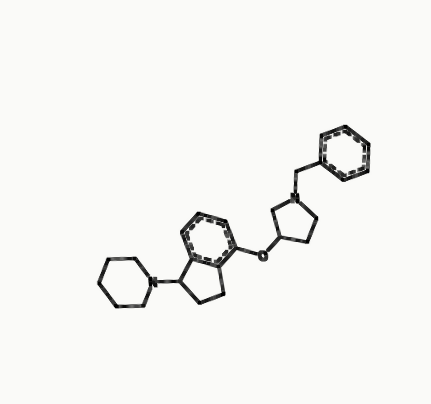 c1ccc(CN2CCC(Oc3cccc4c3CCC4N3CCCCC3)C2)cc1